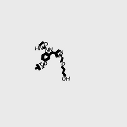 CC(C)(C)[Si](C)(C)Oc1ccc2c(c1)c(-c1cnn(CCOCCCCO)c1)nn2C1NCCO1